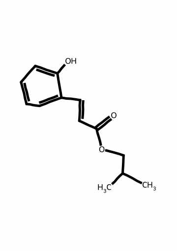 CC(C)COC(=O)/C=C/c1ccccc1O